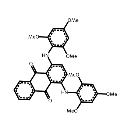 COc1cc(OC)c(Nc2ccc(Nc3c(OC)cc(OC)cc3OC)c3c2C(=O)c2ccccc2C3=O)c(OC)c1